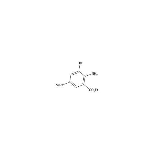 CCOC(=O)c1cc(OC)cc(Br)c1N